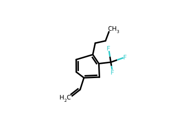 C=Cc1ccc(CCC)c(C(F)(F)F)c1